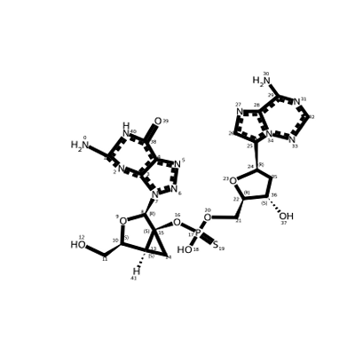 Nc1nc2c(nnn2[C@@H]2O[C@H](CO)[C@@H]3C[C@]32OP(O)(=S)OC[C@H]2O[C@@H](c3cnc4c(N)ncnn34)C[C@@H]2O)c(=O)[nH]1